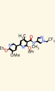 CCCOc1nc(-c2cnc(OCC)c(OC)c2)cc(C)c1C(=O)N(C)c1cnn(CC(F)(F)F)c1